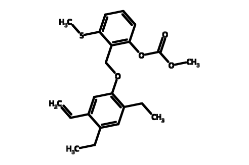 C=Cc1cc(OCc2c(OC(=O)OC)cccc2SC)c(CC)cc1CC